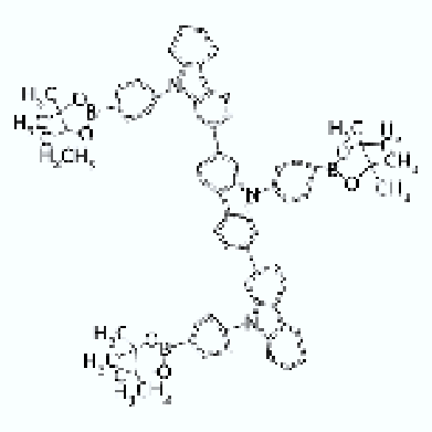 CC1(C)OB(c2ccc(-n3c4ccccc4c4ccc(-c5ccc6c7ccc(-c8ccc9c%10ccccc%10n(-c%10ccc(B%11OC(C)(C)C(C)(C)O%11)cc%10)c9c8)cc7n(-c7ccc(B8OC(C)(C)C(C)(C)O8)cc7)c6c5)cc43)cc2)OC1(C)C